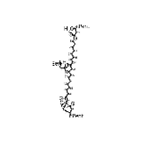 C=C=C=C=CC(CCCCC)CC(=O)OCCCCCCCCCCC(CCCCCCCCCCOC(=O)CC(C)CCCCC)NC(=O)CN(C)CC